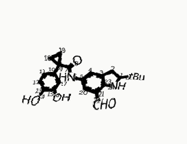 CC(C)(C)C1Cc2cc(NC(=O)C3(c4ccc(O)c(O)c4)CC3)cc(C=O)c2N1